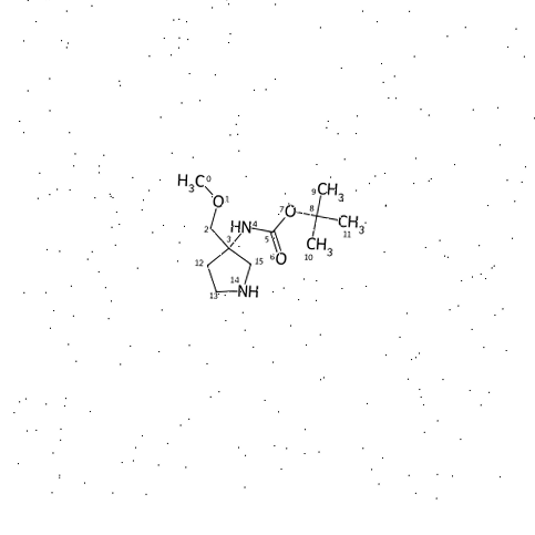 COCC1(NC(=O)OC(C)(C)C)CCNC1